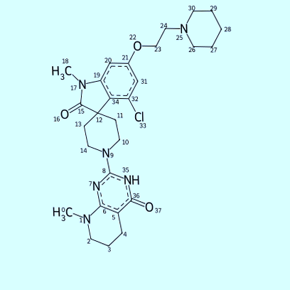 CN1CCCc2c1nc(N1CCC3(CC1)C(=O)N(C)c1cc(OCCN4CCCCC4)cc(Cl)c13)[nH]c2=O